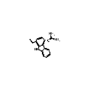 CCc1cccc2c1[nH]c1ccccc12.NC(N)=O